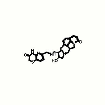 O=C1CSc2ccc(CNC[C@H]3CN(CC4Cn5c(=O)ccc6ccc(F)c4c65)C[C@H]3O)nc2N1